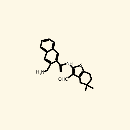 C=C(Nc1sc2c(c1C=O)CC(C)(C)CC2)c1cc2ccccc2cc1CN